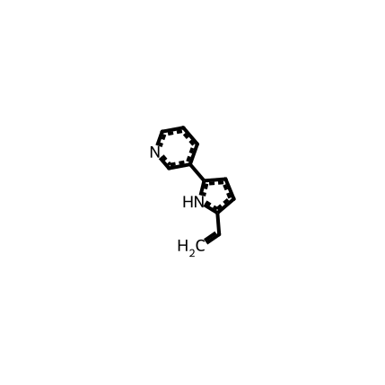 C=Cc1ccc(-c2cccnc2)[nH]1